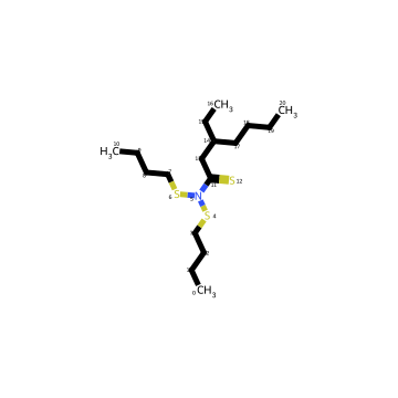 CCCCSN(SCCCC)C(=S)[CH]C(CC)CCCC